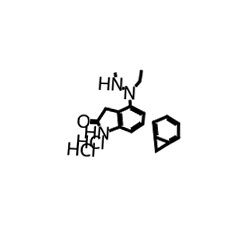 CCN(NC)c1cccc2c1CC(=O)N2.Cl.Cl.c1ccc2c(c1)C2